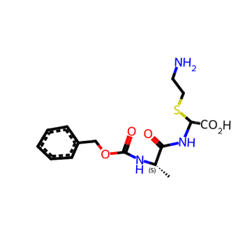 C[C@H](NC(=O)OCc1ccccc1)C(=O)NC(SCCN)C(=O)O